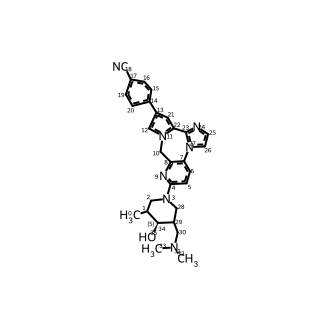 CC1CN(c2ccc3c(n2)Cn2cc(-c4ccc(C#N)cc4)cc2-c2nccn2-3)CC(CN(C)C)[C@H]1O